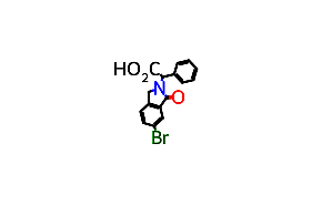 O=C(O)C(c1ccccc1)N1Cc2ccc(Br)cc2C1=O